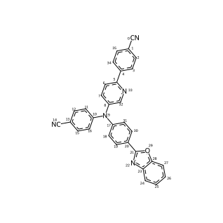 N#Cc1ccc(-c2ccc(N(c3ccc(C#N)cc3)c3ccc(-c4nc5ccccc5o4)cc3)cn2)cc1